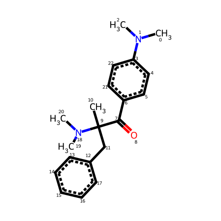 CN(C)c1ccc(C(=O)C(C)(Cc2ccccc2)N(C)C)cc1